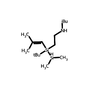 CCC(C)NCC[Si](C=C(C)C)([SiH](C)C)C(C)(C)C